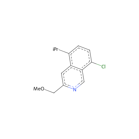 COCc1cc2c(C(C)C)ccc(Cl)c2cn1